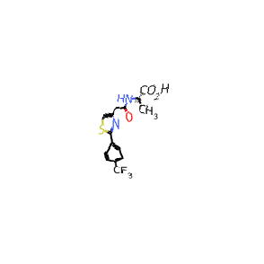 C[C@H](NC(=O)Cc1csc(-c2ccc(C(F)(F)F)cc2)n1)C(=O)O